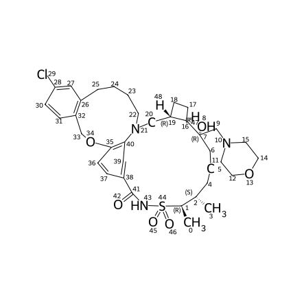 C[C@@H]1[C@@H](C)CCC[C@](O)(CN2CCOCC2)[C@@H]2CC[C@H]2CN2CCCCc3cc(Cl)ccc3COc3ccc(cc32)C(=O)NS1(=O)=O